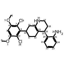 COc1cc(OC)c(Cl)c(C2CCC3=C(C2)NCC[C@H]3c2ccccc2N)c1Cl